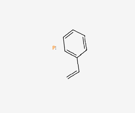 C=Cc1ccccc1.[P]